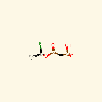 O=S(O)CS(=O)OB(F)C(F)(F)F